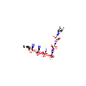 N#[C][Cr](=[O])(=[O])[O-].N#[C][Cr](=[O])(=[O])[O-].N#[C][Cr](=[O])(=[O])[O-].N#[C][Cr](=[O])(=[O])[O-].N#[C][Cr](=[O])(=[O])[O-].N#[C][Cr](=[O])(=[O])[O-].[Na+].[Na+].[Na+].[Na+].[Na+].[Na+]